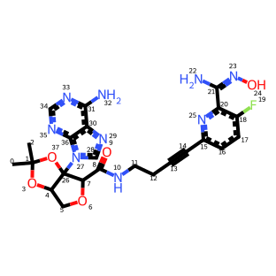 CC1(C)OC2COC(C(=O)NCCC#Cc3ccc(F)c(/C(N)=N\O)n3)C2(n2cnc3c(N)ncnc32)O1